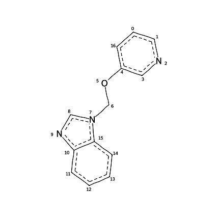 c1cncc(OCn2cnc3ccccc32)c1